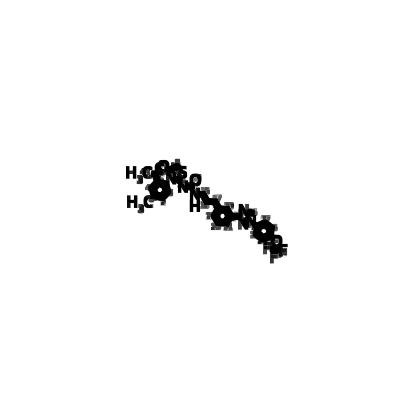 Cc1ccc(N2C(=O)CSC2=NC(=O)NCCCc2cccc(-c3ncn(-c4ccc(OC(F)(F)F)cc4)n3)c2)c(C(C)C)c1